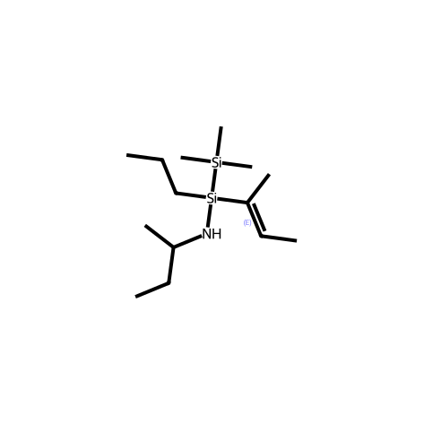 C/C=C(\C)[Si](CCC)(NC(C)CC)[Si](C)(C)C